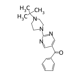 CC(C)(C)N1CCN(c2ncc(C(=O)c3ccccc3)cn2)CC1